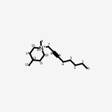 CCCCCC#CC[N+]1(C)CCC(C)CC1